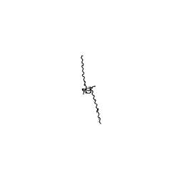 CCCCCCCCCCCCCCCC1(OC2(CCCCCCCCCCCCCCC)CC2C)CC1C